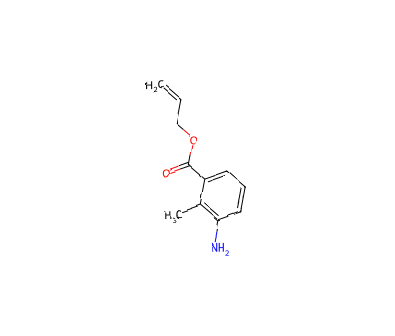 C=CCOC(=O)c1cccc(N)c1C